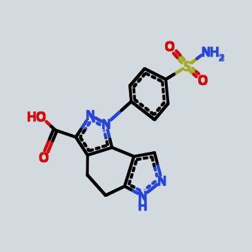 NS(=O)(=O)c1ccc(-n2nc(C(=O)O)c3c2-c2cn[nH]c2CC3)cc1